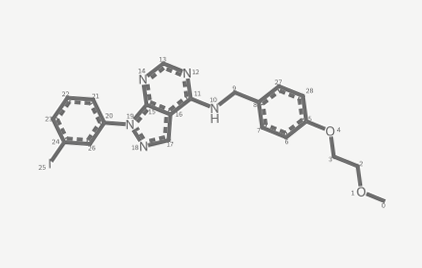 COCCOc1ccc(CNc2ncnc3c2cnn3-c2cccc(I)c2)cc1